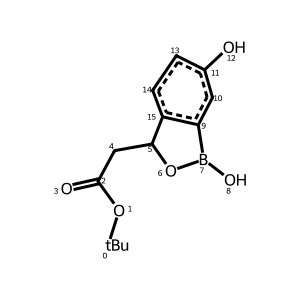 CC(C)(C)OC(=O)CC1OB(O)c2cc(O)ccc21